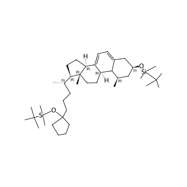 C[C@@H]1C[C@H](O[Si](C)(C)C(C)(C)C)CC2=CC=C3[C@H](CC[C@]4(C)[C@@H]([C@@H](C)CCCC5(O[Si](C)(C)C(C)(C)C)CCCC5)CC[C@@H]34)C21